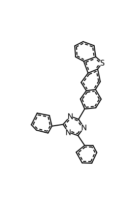 c1ccc(-c2nc(-c3ccccc3)nc(-c3ccc4cc5sc6ccccc6c5cc4c3)n2)cc1